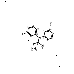 NCC(O)C(c1cccc(F)c1)c1cccc(F)c1